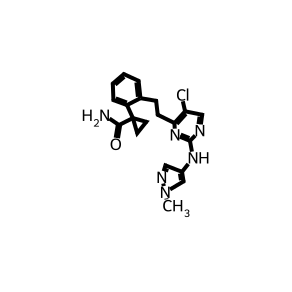 Cn1cc(Nc2ncc(Cl)c(CCc3ccccc3C3(C(N)=O)CC3)n2)cn1